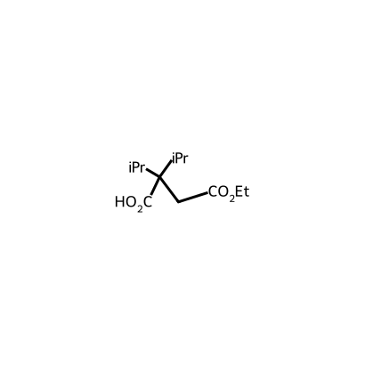 CCOC(=O)CC(C(=O)O)(C(C)C)C(C)C